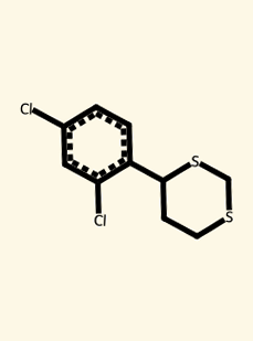 Clc1ccc(C2CCSCS2)c(Cl)c1